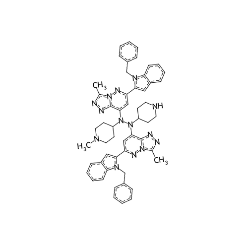 Cc1nnc2c(N(C3CCNCC3)N(c3cc(-c4cc5ccccc5n4Cc4ccccc4)nn4c(C)nnc34)C3CCN(C)CC3)cc(-c3cc4ccccc4n3Cc3ccccc3)nn12